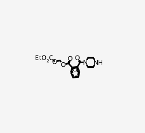 CCOC(=O)OCOC(=O)c1c(C(=O)N2CCNCC2)c2ccc1o2